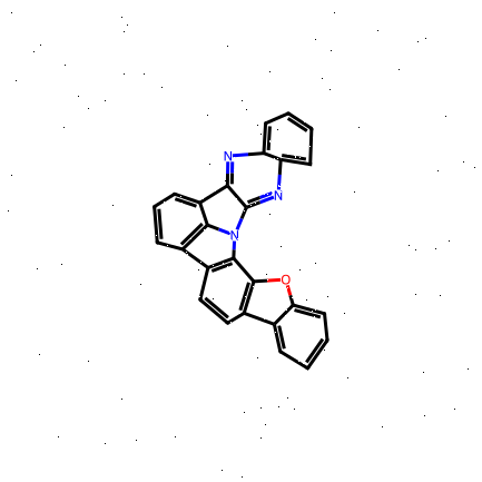 c1ccc2nc3c(nc2c1)c1cccc2c4ccc5c6ccccc6oc5c4n3c21